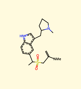 C=C(CS(=O)(=O)C(C)c1ccc2[nH]cc(CC3CCCN3C)c2c1)NC